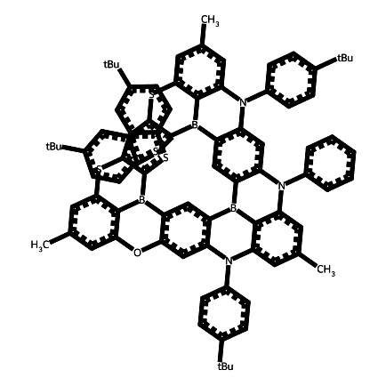 Cc1cc2c3c(c1)Sc1c(sc4ccc(C(C)(C)C)cc14)B3c1cc3c(cc1O2)N(c1ccc(C(C)(C)C)cc1)c1cc(C)cc2c1B3c1cc3c(cc1N2c1ccccc1)N(c1ccc(C(C)(C)C)cc1)c1cc(C)cc2c1B3c1sc3ccc(C(C)(C)C)cc3c1S2